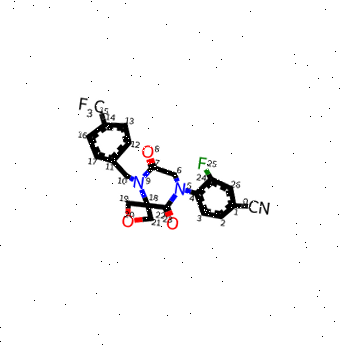 N#Cc1ccc(N2CC(=O)N(Cc3ccc(C(F)(F)F)cc3)C3(COC3)C2=O)c(F)c1